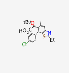 CCc1nc2cc(C)c([C@H](OC(C)(C)C)C(=O)O)c(-c3ccc(Cl)cc3)c2s1